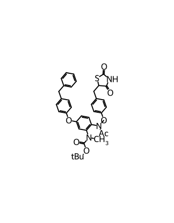 CC(=O)N(Oc1ccc(CC2SC(=O)NC2=O)cc1)c1ccc(Oc2ccc(Cc3ccccc3)cc2)cc1N(C)C(=O)OC(C)(C)C